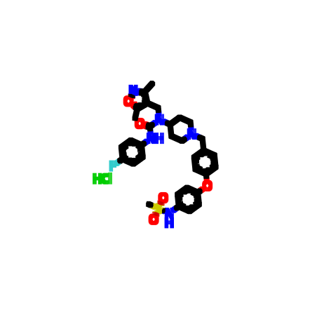 Cc1noc(C)c1CN(C(=O)Nc1ccc(F)cc1)C1CCN(Cc2ccc(Oc3ccc(NS(C)(=O)=O)cc3)cc2)CC1.Cl